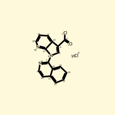 Cl.O=C(Cl)c1cn(-c2nccc3ccccc23)c2ncccc12